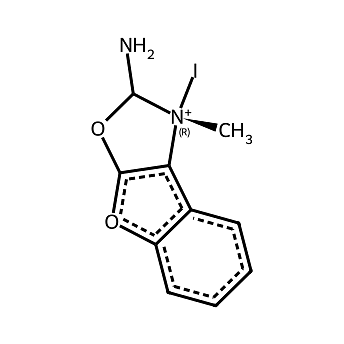 C[N@@+]1(I)c2c(oc3ccccc23)OC1N